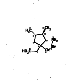 CC(C)(C)N.C[C@H]1CC(C#N)(CC(=O)O)C[C@@H]1C